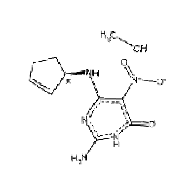 CO.Nc1nc(N[C@H]2C=CCC2)c([N+](=O)[O-])c(=O)[nH]1